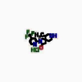 CC1CNCCC12CC(=O)N(c1cc(C(F)(F)F)ccn1)C2.Cl